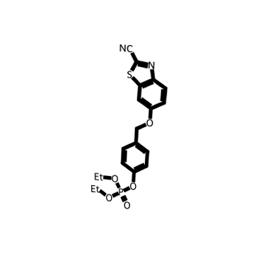 CCOP(=O)(OCC)Oc1ccc(COc2ccc3nc(C#N)sc3c2)cc1